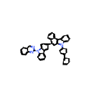 c1ccc(-c2ccc(-n3c4ccccc4c4c5ccccc5c(-c5ccc6c(c5)c5ccccc5n6-c5ncc6ccccc6n5)cc43)cc2)cc1